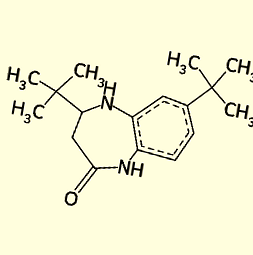 CC(C)(C)c1ccc2c(c1)NC(C(C)(C)C)CC(=O)N2